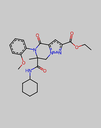 CCOC(=O)c1cc2n(n1)CC(C)(C(=O)NC1CCCCC1)N(c1ccccc1OC)C2=O